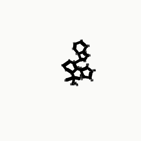 CS(=O)(=O)c1cccc(-c2cnc3ncccn23)c1-c1nnn[nH]1